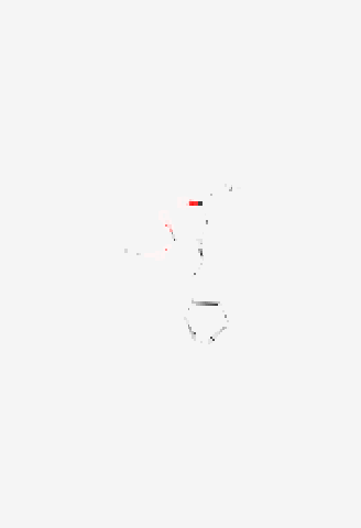 COC(=O)CC(=CCc1ccccc1)C(=O)OC(C)(C)C